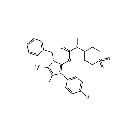 Cc1c(-c2ccc(Cl)cc2)c(OC(=O)N(C)C2CCS(=O)(=O)CC2)n(Cc2ccccc2)c1C(F)(F)F